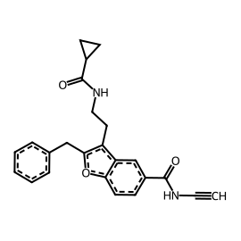 C#CNC(=O)c1ccc2oc(Cc3ccccc3)c(CCNC(=O)C3CC3)c2c1